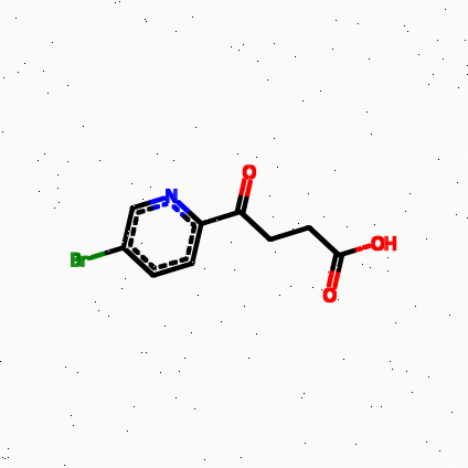 O=C(O)CCC(=O)c1ccc(Br)cn1